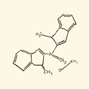 CCl.[CH2]=[Zr]([C]1=Cc2ccccc2C1C)[C]1=Cc2ccccc2C1C